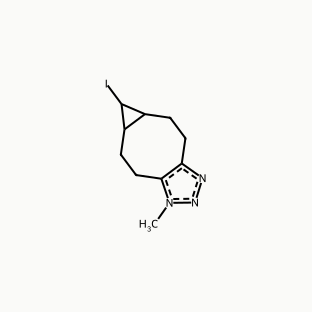 Cn1nnc2c1CCC1C(I)C1CC2